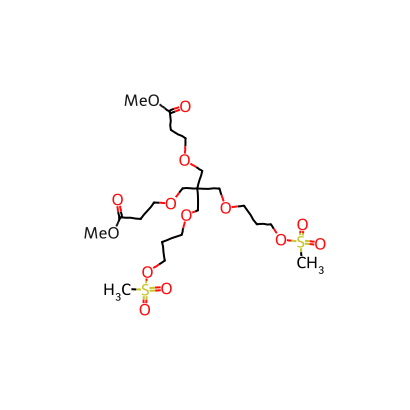 COC(=O)CCOCC(COCCCOS(C)(=O)=O)(COCCCOS(C)(=O)=O)COCCC(=O)OC